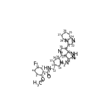 COc1ccc(F)cc1C(=O)NCc1ccc(-c2ncc(-c3cnc4ccccn34)c3[nH]nc(N)c23)cc1